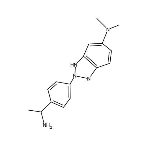 CC(N)c1ccc(N2[N]c3ccc(N(C)C)cc3N2)cc1